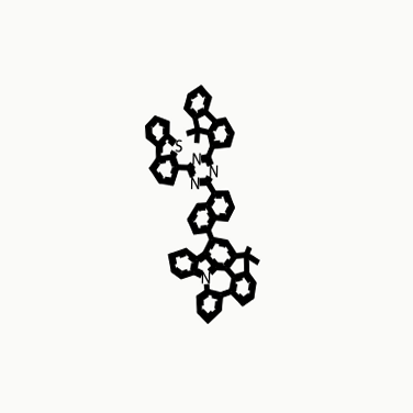 CC1(C)c2cccc3c2-c2c1cc(-c1cccc4c(-c5nc(-c6cccc7c6C(C)(C)c6ccccc6-7)nc(-c6cccc7c6sc6ccccc67)n5)cccc14)c1c4ccccc4n(c21)-c1ccccc1-3